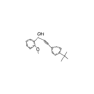 COc1ccccc1[C@H](O)C#Cc1ccc(C(C)(C)C)cc1